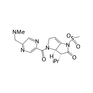 CNCc1cnc(C(=O)N2CC=C3[C@H]2[C@@H](C(C)C)C(=O)N3S(C)(=O)=O)cn1